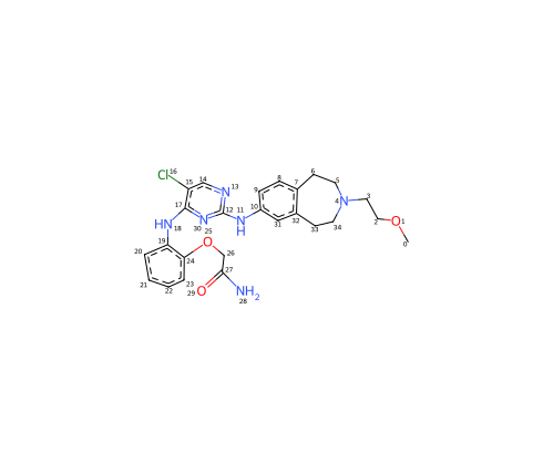 COCCN1CCc2ccc(Nc3ncc(Cl)c(Nc4ccccc4OCC(N)=O)n3)cc2CC1